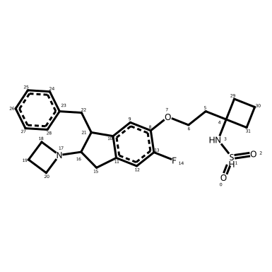 O=[SH](=O)NC1(CCOc2cc3c(cc2F)CC(N2CCC2)C3Cc2ccccc2)CCC1